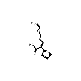 C=COCCC=C(C(=O)O)c1cccs1